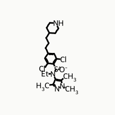 CCN(c1c(C)nn(C)c1C)[S+]([O-])c1c(Cl)cc(CCCC2CCNCC2)cc1Cl